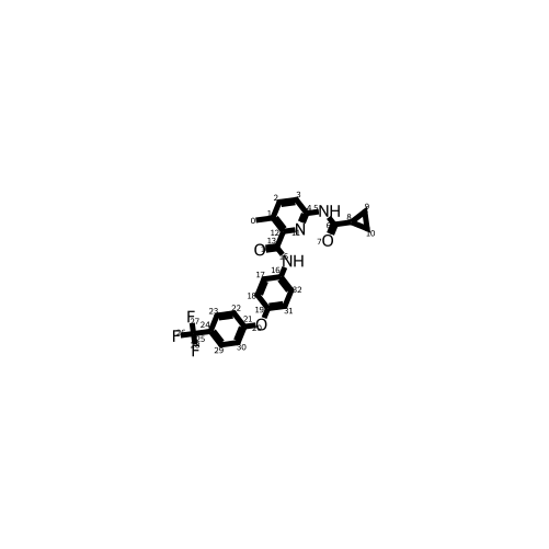 Cc1ccc(NC(=O)C2CC2)nc1C(=O)Nc1ccc(Oc2ccc(C(F)(F)F)cc2)cc1